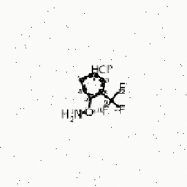 Cl.NOc1ccccc1C(F)(F)F